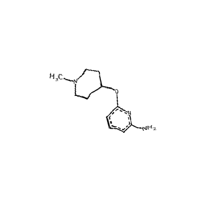 CN1CCC(Oc2cccc(N)n2)CC1